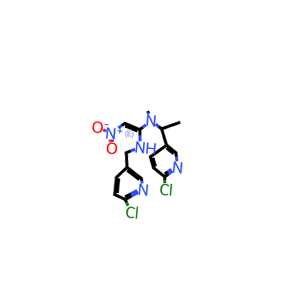 CC(c1ccc(Cl)nc1)N(C)/C(=C/[N+](=O)[O-])NCc1ccc(Cl)nc1